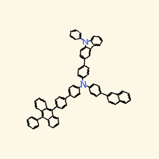 c1ccc(-c2c3ccccc3c(-c3ccc(-c4ccc(N(c5ccc(-c6ccc7ccccc7c6)cc5)c5ccc(-c6ccc7c(c6)c6ccccc6n7-c6ccccc6)cc5)cc4)cc3)c3ccccc23)cc1